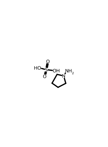 NN1CCCC1.O=S(=O)(O)O